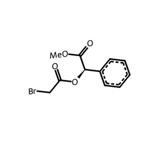 COC(=O)[C@H](OC(=O)CBr)c1ccccc1